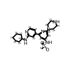 CS(=O)(=O)Nc1cc(-c2ccnc(NC3CCCCC3)c2)nc(N2CCNCC2)c1